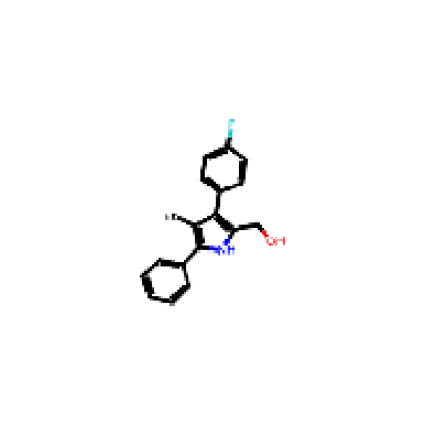 CCc1c(-c2ccccc2)[nH]c(CO)c1-c1ccc(F)cc1